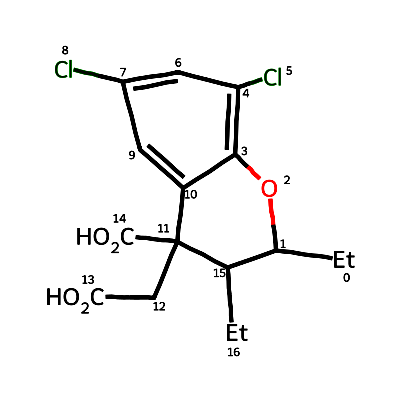 CCC1Oc2c(Cl)cc(Cl)cc2C(CC(=O)O)(C(=O)O)C1CC